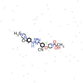 C[C@H](O)C(=O)N1CC[C@H](Oc2ccc(-c3ncnc(Nc4ccc(N5CCN(C)C[C@@H]5C)cc4)n3)cc2C#N)[C@@H](F)C1